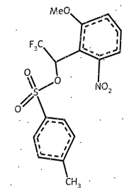 COc1cccc([N+](=O)[O-])c1C(OS(=O)(=O)c1ccc(C)cc1)C(F)(F)F